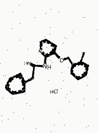 Cc1ccccc1COc1cccnc1NC(=N)Cc1ccccc1.Cl